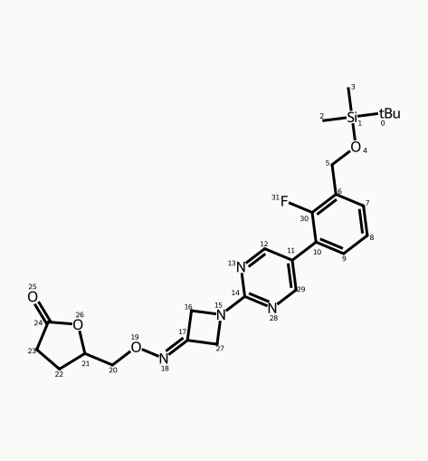 CC(C)(C)[Si](C)(C)OCc1cccc(-c2cnc(N3CC(=NOCC4CCC(=O)O4)C3)nc2)c1F